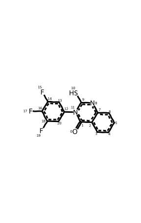 O=c1c2ccccc2nc(S)n1-c1cc(F)c(F)c(F)c1